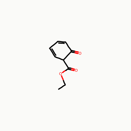 CCOC(=O)C1C=CC=CC1=O